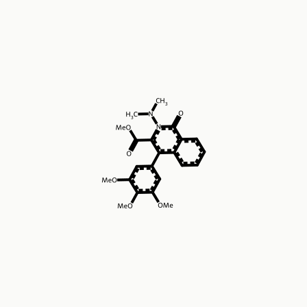 COC(=O)c1c(-c2cc(OC)c(OC)c(OC)c2)c2ccccc2c(=O)n1N(C)C